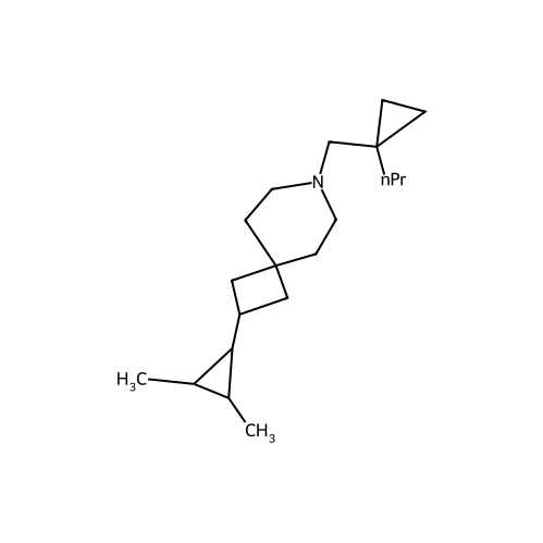 CCCC1(CN2CCC3(CC2)CC(C2C(C)C2C)C3)CC1